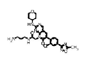 Cc1nc(-c2ccc(-c3cc4cnc(NC5CCOCC5)nc4n(CC(=O)NCCCN)c3=O)c(Cl)c2)no1